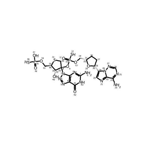 Nc1nc2c(nnn2[C@@]2(OP(=O)(S)OC[C@@H]3CC[C@H](c4cnc5c(N)ncnn45)O3)CS[C@H](COP(=O)(O)S)[C@H]2O)c(=O)[nH]1